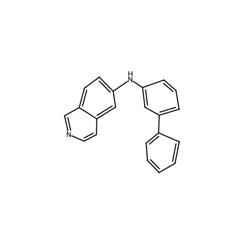 c1ccc(-c2cccc(Nc3ccc4cnccc4c3)c2)cc1